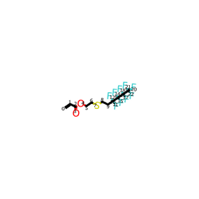 C=CC(=O)OCCSCCC(F)(F)C(F)(F)C(F)(F)C(F)(F)F